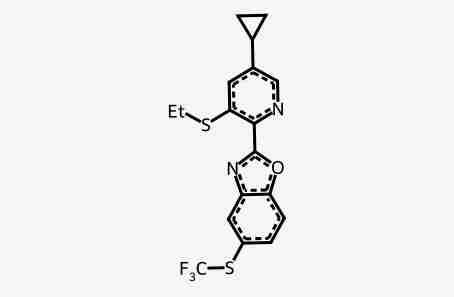 CCSc1cc(C2CC2)cnc1-c1nc2cc(SC(F)(F)F)ccc2o1